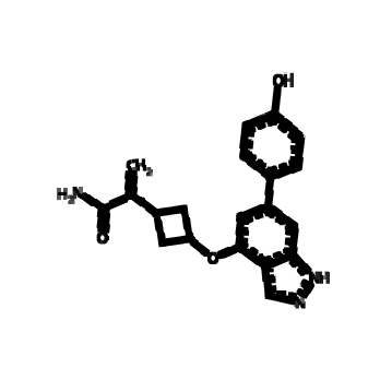 C=C(C(N)=O)C1CC(Oc2cc(-c3ccc(O)cc3)cc3[nH]ncc23)C1